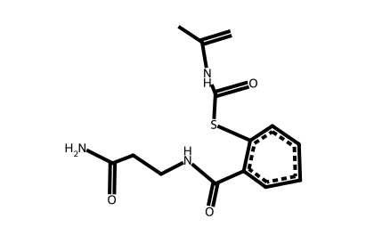 C=C(C)NC(=O)Sc1ccccc1C(=O)NCCC(N)=O